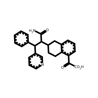 NC(=O)C(C1CCc2c(cccc2C(=O)C(=O)O)C1)C(c1ccccc1)c1cccnc1